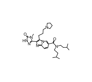 CC(C)CCN(CCC(C)C)C(=O)c1ccc2nc(-c3n[nH]c(=O)n3C)c(CCCN3CCCC3)n2c1